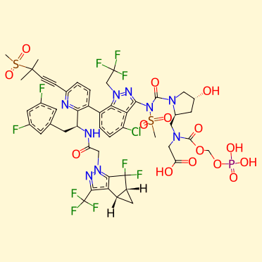 CC(C)(C#Cc1ccc(-c2ccc(Cl)c3c(N(C(=O)N4C[C@H](O)C[C@H]4CN(CC(=O)O)C(=O)OCOP(=O)(O)O)S(C)(=O)=O)nn(CC(F)(F)F)c23)c([C@H](Cc2cc(F)cc(F)c2)NC(=O)Cn2nc(C(F)(F)F)c3c2C(F)(F)[C@@H]2C[C@H]32)n1)S(C)(=O)=O